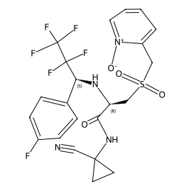 N#CC1(NC(=O)[C@H](CS(=O)(=O)Cc2cccc[n+]2[O-])N[C@@H](c2ccc(F)cc2)C(F)(F)C(F)(F)F)CC1